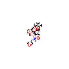 CC1=C[C@]23C(=O)[C@@H](C=C4COC(C)(C)O[C@H]4[C@]2(O)[C@H]1OC(=O)N(C)CC1CCOCC1)[C@H]1[C@@H](C[C@H]3C)C1(C)C